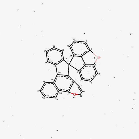 B1c2cccc3c2-c2c1cccc2C31c2ccccc2-c2c1c1c(c3ccccc23)OCC=C1